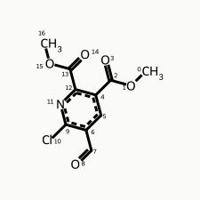 COC(=O)c1cc(C=O)c(Cl)nc1C(=O)OC